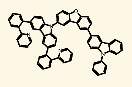 c1ccc(-n2c3ccccc3c3cc(-c4ccc5oc6ccc(-n7c8ccc(-c9ccccc9-c9ccccn9)cc8c8cc(-c9ccccc9-c9ccccn9)ccc87)cc6c5c4)ccc32)cc1